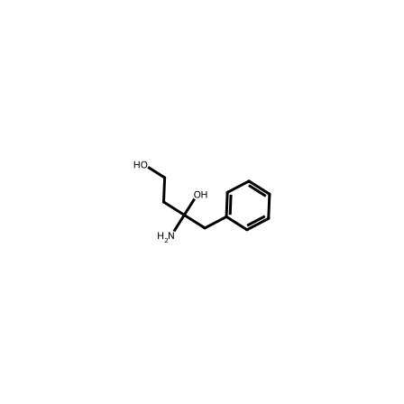 NC(O)(CCO)Cc1ccccc1